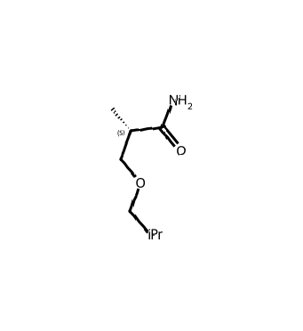 CC(C)COC[C@H](C)C(N)=O